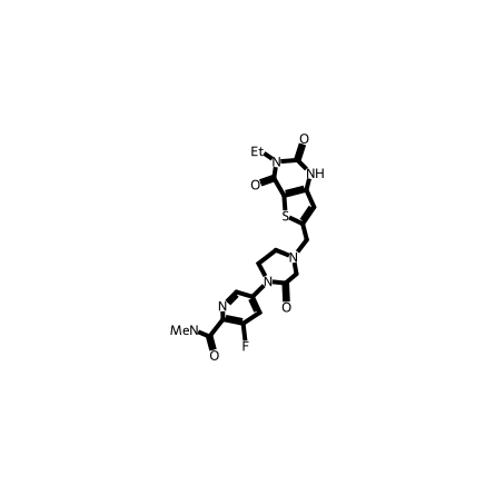 CCn1c(=O)[nH]c2cc(CN3CCN(c4cnc(C(=O)NC)c(F)c4)C(=O)C3)sc2c1=O